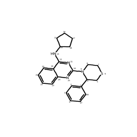 c1ccc(C2CSCCN2c2nc(NC3CCCC3)c3ccccc3n2)cc1